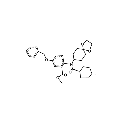 COC(=O)c1cc(OCc2ccccc2)ccc1N(C(=O)[C@H]1CC[C@H](C)CC1)C1CCC2(CC1)OCCO2